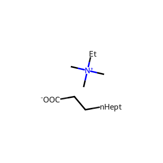 CCCCCCCCCC(=O)[O-].CC[N+](C)(C)C